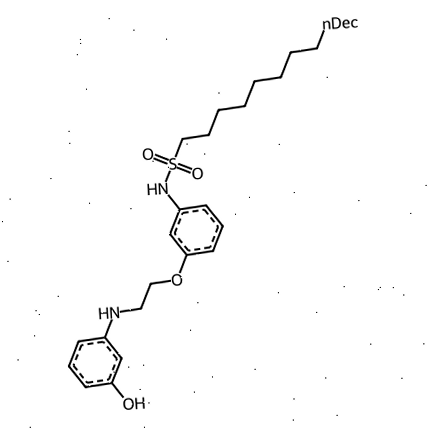 CCCCCCCCCCCCCCCCCCS(=O)(=O)Nc1cccc(OCCNc2cccc(O)c2)c1